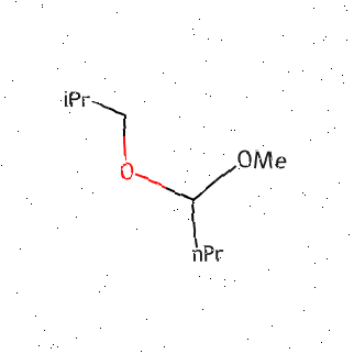 CCCC(OC)OCC(C)C